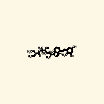 C=C1/C(=C\C=C2/CCC[C@]3(C)[C@@H]([C@H](C)/C=C/[C@@H](O)C(C)(C)OC(=O)N(CC)CC)CC[C@@H]23)CC(O)CC1O